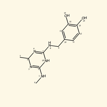 CNC1=NC(C)N=C(NCc2ccc(O)c(O)c2)N1